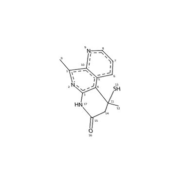 Cc1nc2c(c3cccnc13)C(C)(S)CC(=O)N2